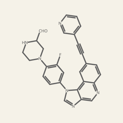 O=CC1CN(c2ccc(-n3cnc4cnc5ccc(C#Cc6cccnc6)cc5c43)cc2F)CCN1